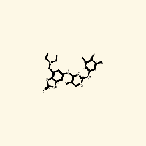 CCN(CC)Cc1cc(Nc2nc(Nc3cc(C)c(C)c(C)c3)ncc2C)cc2[nH]c(=O)oc12